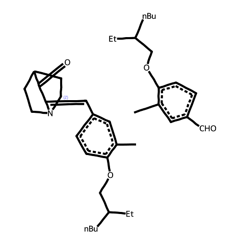 CCCCC(CC)COc1ccc(/C=C2/C(=O)C3CCN2CC3)cc1C.CCCCC(CC)COc1ccc(C=O)cc1C